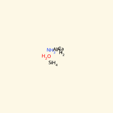 N.O.[AlH3].[CaH2].[SiH4]